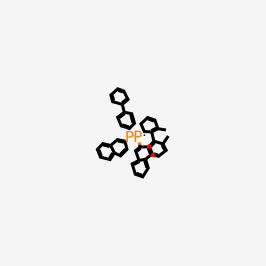 CC1=C(c2ccccc2C)[C]([P@@](c2ccc3ccccc3c2)[P@](c2ccc(-c3ccccc3)cc2)c2ccc3ccccc3c2)CC=C1